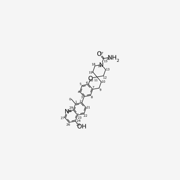 Cc1c(-c2ccc3c(c2)CCC2(CCN(C(N)=O)CC2)O3)ccc2c(O)ccnc12